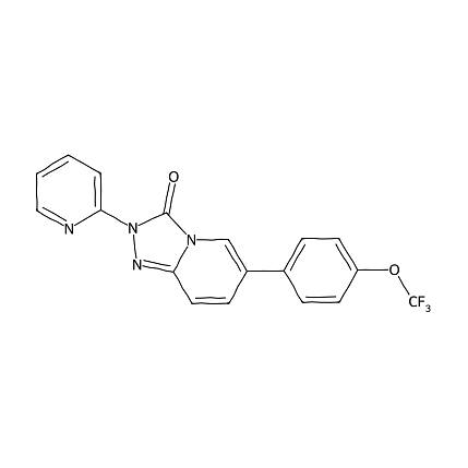 O=c1n(-c2ccccn2)nc2ccc(-c3ccc(OC(F)(F)F)cc3)cn12